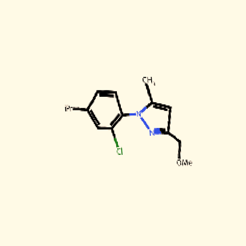 COCc1cc(C)n(-c2ccc(C(C)C)cc2Cl)n1